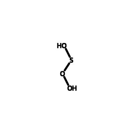 OOSO